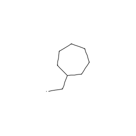 [CH2]CC1CCCCCC1